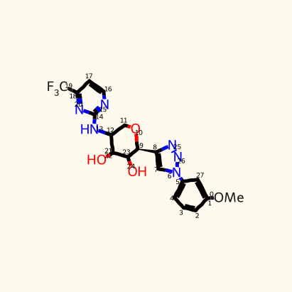 COc1cccc(-n2cc([C@@H]3OCC(Nc4nccc(C(F)(F)F)n4)C(O)C3O)nn2)c1